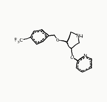 FC(F)(F)c1ccc(COC2CNCC2Oc2ccccn2)cc1